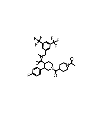 CC(=O)N1CCC(C(=O)N2CCC(C(=O)N(C)Cc3cc(C(F)(F)F)cc(C(F)(F)F)c3)C(c3ccc(F)cc3)C2)CC1